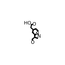 O=Cc1cnn2ccc(CC(=O)O)cc12